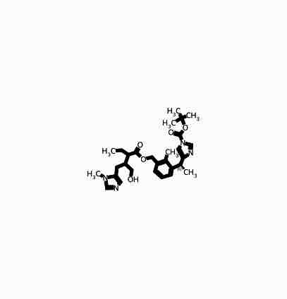 CCC(C(=O)OCc1cccc([C@H](C)c2cn(C(=O)OC(C)(C)C)cn2)c1C)C(CO)Cc1cncn1C